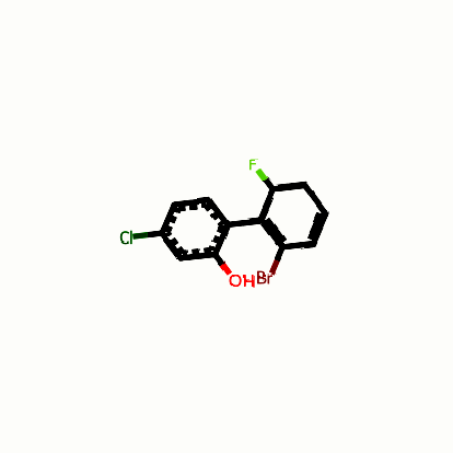 Oc1cc(Cl)ccc1C1=C(Br)C=CCC1F